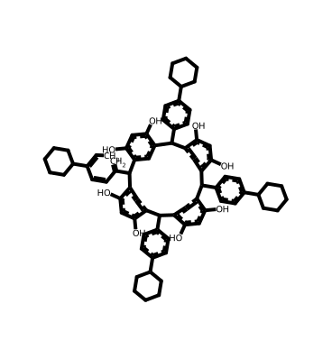 C=C(/C=C\C(=C/C)C1CCCCC1)C1c2cc(c(O)cc2O)C(c2ccc(C3CCCCC3)cc2)c2cc(c(O)cc2O)C(c2ccc(C3CCCCC3)cc2)c2cc(c(O)cc2O)C(c2ccc(C3CCCCC3)cc2)c2cc1c(O)cc2O